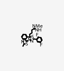 CNC(=N)CCCC1(c2ccccc2)SC(c2cc(F)ccc2F)=NN1c1nnc(C)s1